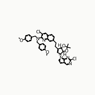 COc1ccc(CN(Cc2ccc(OC)cc2)c2nc3cc(CCC4=C[C@@H](n5ccc6cnc(Cl)nc65)[C@@H]5OC(C)(C)O[C@H]45)ccc3cc2Cl)cc1